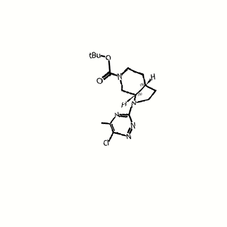 Cc1nc(N2CC[C@H]3CCN(C(=O)OC(C)(C)C)C[C@H]32)nnc1Cl